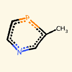 Cc1cnccp1